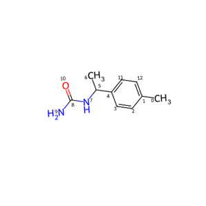 Cc1ccc(C(C)NC(N)=O)cc1